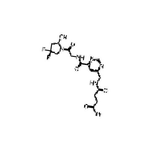 CC(C)C(=O)CCC(=O)NCc1cc(C(=O)NCC(=O)N2CC(F)(F)C[C@H]2C#N)ncn1